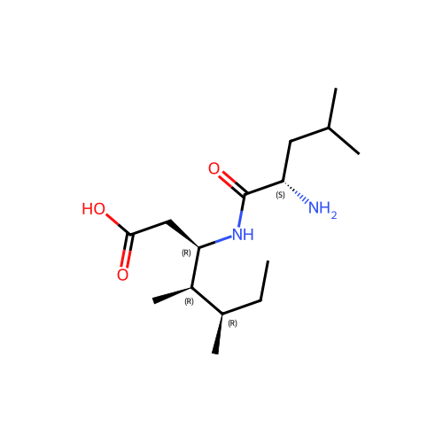 CC[C@@H](C)[C@@H](C)[C@@H](CC(=O)O)NC(=O)[C@@H](N)CC(C)C